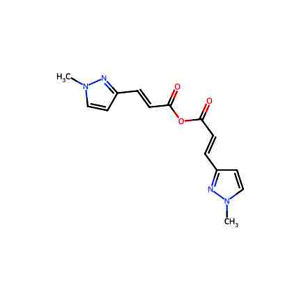 Cn1ccc(/C=C/C(=O)OC(=O)/C=C/c2ccn(C)n2)n1